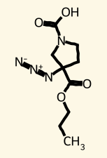 CCCOC(=O)C1(N=[N+]=[N-])CCN(C(=O)O)C1